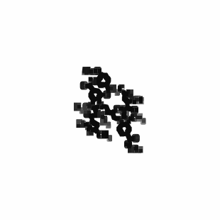 CCCCOC(=O)c1ccc2c(c1)n(C)/c(=N\C(=O)c1cc(C)nn1CC)n2C/C(C)=C(\C)Cn1/c(=N/C(=O)c2cc(C)nn2CC)n(C)c2cc(C(N)=O)cc(OCc3ccc(OC)cc3)c21